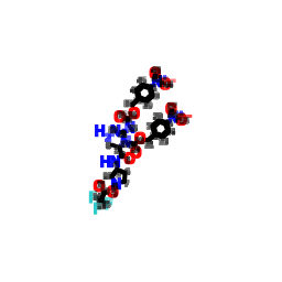 C[C@H](C(=O)N[C@H]1CCN(OC(=O)C(F)(F)F)C1)N(C(=O)OCc1ccc([N+](=O)[O-])cc1)C(N)=NC(=O)OCc1ccc([N+](=O)[O-])cc1